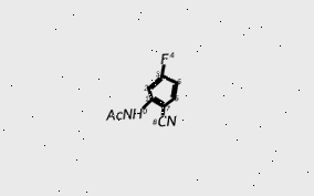 CC(=O)Nc1cc(F)ccc1C#N